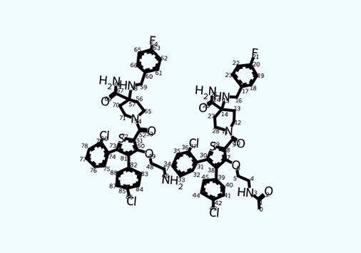 CC(=O)NCCOc1c(C(=O)N2CCC(NCc3ccc(F)cc3)(C(N)=O)CC2)sc(-c2ccccc2Cl)c1-c1ccc(Cl)cc1.NCCOc1c(C(=O)N2CCC(NCc3ccc(F)cc3)(C(N)=O)CC2)sc(-c2ccccc2Cl)c1-c1ccc(Cl)cc1